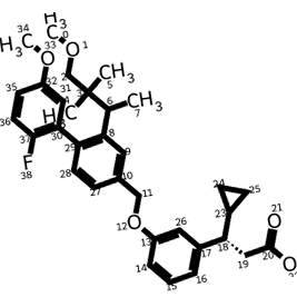 COCC(C)(C)C(C)c1cc(COc2cccc([C@@H](CC(=O)O)C3CC3)c2)ccc1-c1cc(OC)ccc1F